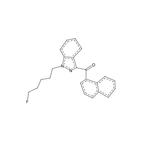 O=C(c1cccc2ccccc12)c1nn(CCCCCF)c2ccccc12